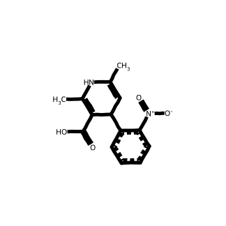 CC1=CC(c2ccccc2[N+](=O)[O-])C(C(=O)O)=C(C)N1